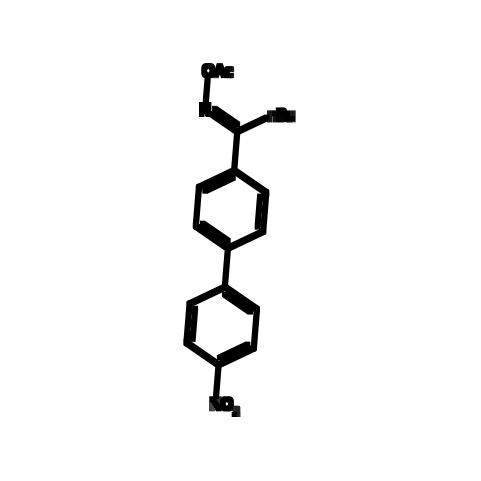 CCCCC(=NOC(C)=O)c1ccc(-c2ccc([N+](=O)[O-])cc2)cc1